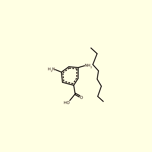 CCCCCCCC.Nc1cc(N)cc(C(=O)O)c1